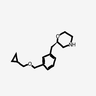 c1cc(COCC2CC2)cc(C[C@@H]2CNCCO2)c1